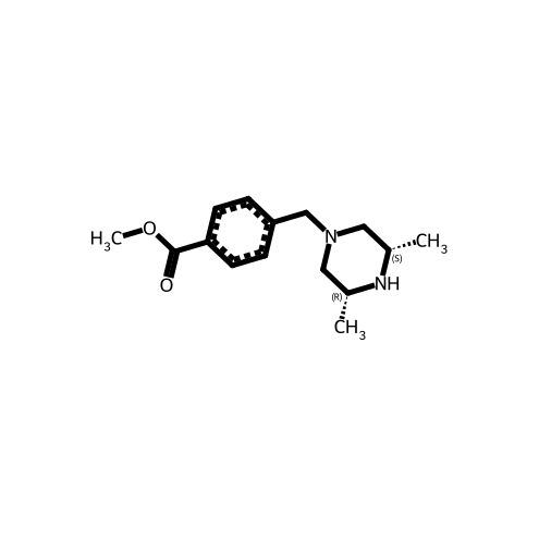 COC(=O)c1ccc(CN2C[C@@H](C)N[C@@H](C)C2)cc1